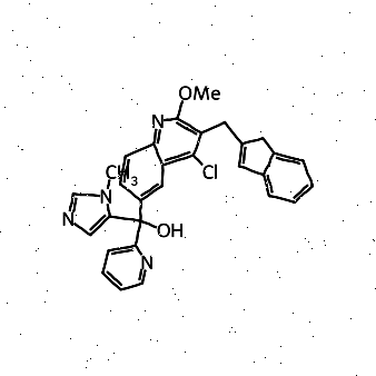 COc1nc2ccc(C(O)(c3ccccn3)c3cncn3C)cc2c(Cl)c1CC1=Cc2ccccc2C1